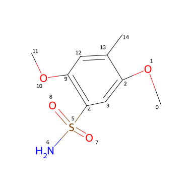 COc1cc(S(N)(=O)=O)c(OC)cc1C